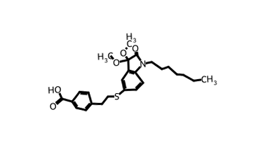 CCCCCCCN1C(=O)C(OC)(OC)c2cc(SCCc3ccc(C(=O)O)cc3)ccc21